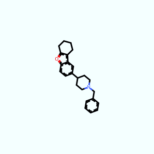 c1ccc(CN2CCC(c3ccc4oc5c(c4c3)CCCC5)CC2)cc1